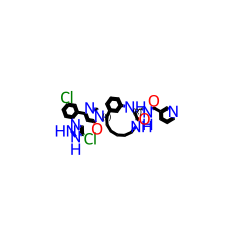 O=C(NC[C@H]1Nc2cccc(c2)[C@@H](n2cnc(-c3cc(Cl)ccc3N3C=C(Cl)NN3)cc2=O)CCCCCNC1=O)c1cccnc1